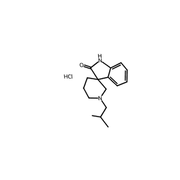 CC(C)CN1CCCC2(C1)C(=O)Nc1ccccc12.Cl